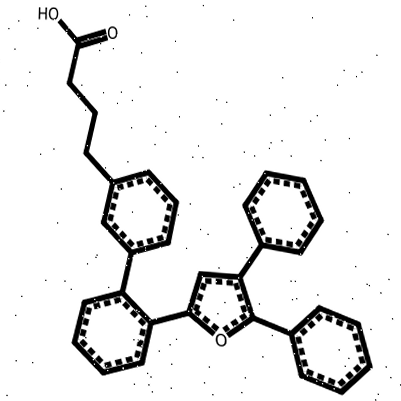 O=C(O)CCCc1cccc(-c2ccccc2-c2cc(-c3ccccc3)c(-c3ccccc3)o2)c1